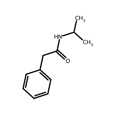 CC(C)NC(=O)Cc1cc[c]cc1